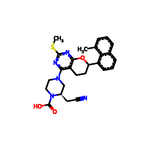 CSc1nc2c(c(N3CCN(C(=O)O)[C@@H](CC#N)C3)n1)CCC(c1cccc3cccc(C)c13)O2